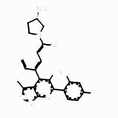 C=C/C(=C\C=C(/N)N1CC[C@@H](N)C1)c1c(C#N)c(-c2ccc(O)cc2F)nc2[nH]nc(C)c12